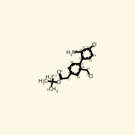 CC(C)(C)OC(=O)Cc1ccc(-c2ccc(Cl)cc2N)c(CCl)c1